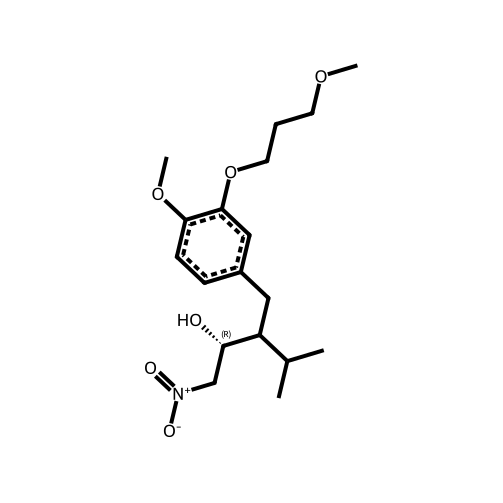 COCCCOc1cc(CC(C(C)C)[C@@H](O)C[N+](=O)[O-])ccc1OC